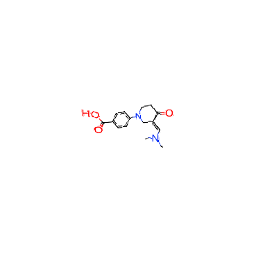 CN(C)/C=C1\CN(c2ccc(C(=O)O)cc2)CCC1=O